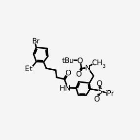 CCc1cc(Br)ccc1CCCC(=O)Nc1ccc(S(=O)(=O)C(C)C)c(CN(C)C(=O)OC(C)(C)C)c1